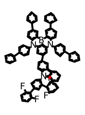 Fc1cccc(F)c1-c1ccc(-n2c3ccccc3c3cc(-c4cc5c6c(c4)N(c4ccc(-c7ccccc7)cc4)c4ccc(-c7ccccc7)cc4B6c4cc(-c6ccccc6)ccc4N5c4ccc(-c5ccccc5)cc4)ccc32)c(-c2c(F)cccc2F)c1